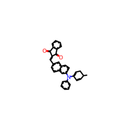 CC1C=CC(N(c2ccccc2)c2ccc3cc(C=C4C(=O)c5ccccc5C4=O)ccc3c2)=CC1